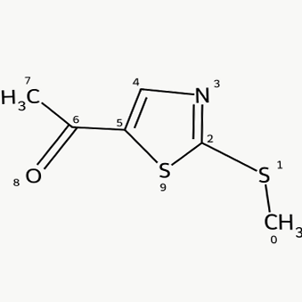 CSc1ncc(C(C)=O)s1